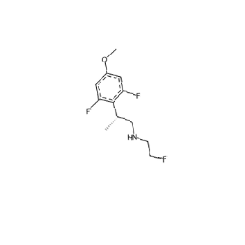 COc1cc(F)c([C@@H](C)CNCCF)c(F)c1